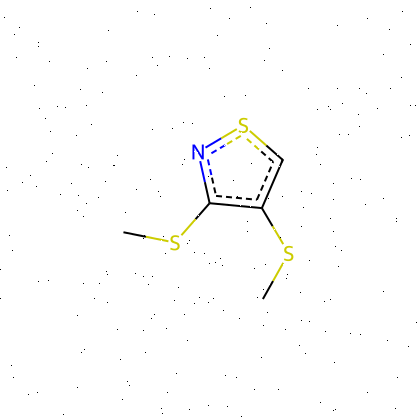 CSc1csnc1SC